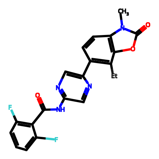 CCc1c(-c2cnc(NC(=O)c3c(F)cccc3F)cn2)ccc2c1oc(=O)n2C